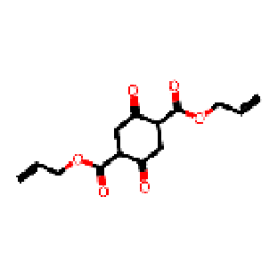 C=CCOC(=O)C1CC(=O)C(C(=O)OCC=C)CC1=O